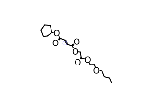 CCCCOCCOC(=O)COC(=O)/C=C/C(=O)OC1CCCCC1